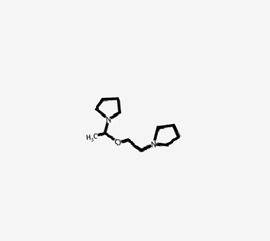 CC(OCCN1CCCC1)N1CCCC1